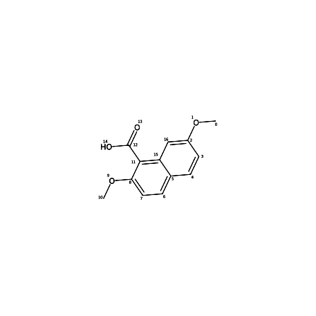 COc1ccc2ccc(OC)c(C(=O)O)c2c1